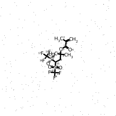 C=C(C)C(=O)OC(C)(C)CC(S(=O)(=O)C(F)(F)F)S(=O)(=O)C(F)(F)F